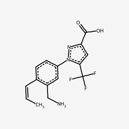 C/C=C\c1ccc(-n2nc(C(=O)O)cc2C(F)(F)F)cc1CN